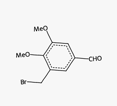 COc1cc(C=O)cc(CBr)c1OC